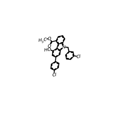 COC(=O)c1cccc2c1c1c(O)cc(-c3ccc(Cl)cc3)cc1n2Cc1cccc(Cl)c1